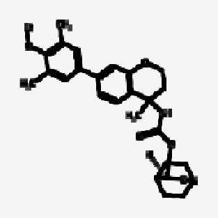 CCOc1c(C)cc(-c2ccc3c(c2)OCCC3(C)NC(=O)O[C@H]2CN3CCC2CC3)cc1C